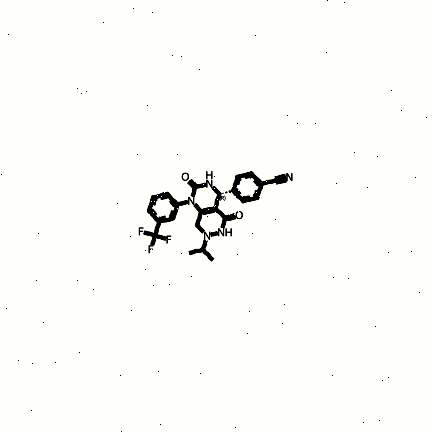 CC(C)N1CC2=C(C(=O)N1)[C@@H](c1ccc(C#N)cc1)NC(=O)N2c1cccc(C(F)(F)F)c1